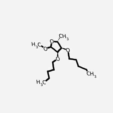 CCCCCO[C@@H]1[C@@H](C)OC(OC)[C@@H]1OCCCCC